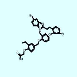 CCc1cc(COc2ccccc2Cn2c(CCc3ccc(Cl)cc3Cl)nc3cc(Br)ccc32)ccc1OCC(=O)O